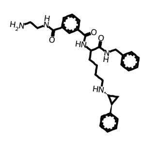 NCCNC(=O)c1cccc(C(=O)NC(CCCCN[C@@H]2C[C@H]2c2ccccc2)C(=O)NCc2ccccc2)c1